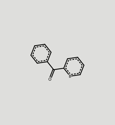 O=C(c1bcccc1)c1ccccc1